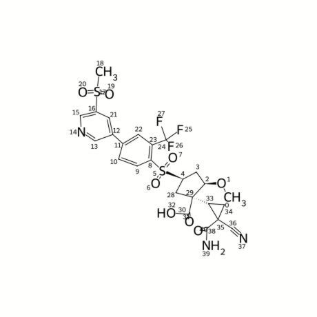 CO[C@@H]1C[C@H](S(=O)(=O)c2ccc(-c3cncc(S(C)(=O)=O)c3)cc2C(F)(F)F)C[C@@]1(C(=O)O)C1CC1(C#N)C(N)=O